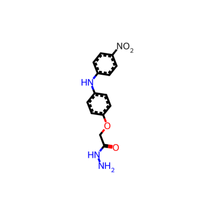 NNC(=O)COc1ccc(Nc2ccc([N+](=O)[O-])cc2)cc1